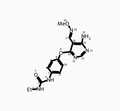 CCNC(=O)Nc1ccc(Oc2ncnc(N)c2C=NOC)cc1